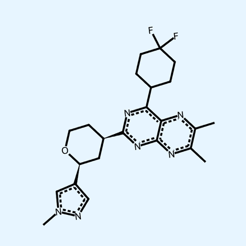 Cc1nc2nc([C@@H]3CCO[C@H](c4cnn(C)c4)C3)nc(C3CCC(F)(F)CC3)c2nc1C